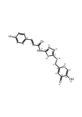 O=C(/C=C/c1ccc(F)cc1)Nc1nnc(SCc2cc(=O)c(O)co2)s1